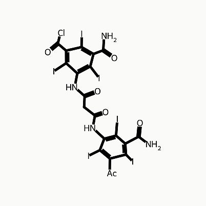 CC(=O)c1c(I)c(NC(=O)CC(=O)Nc2c(I)c(C(N)=O)c(I)c(C(=O)Cl)c2I)c(I)c(C(N)=O)c1I